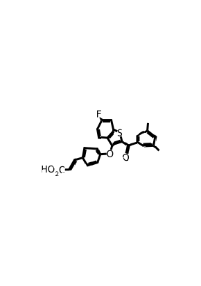 Cc1cc(C)cc(C(=O)c2sc3cc(F)ccc3c2Oc2ccc(/C=C/C(=O)O)cc2)c1